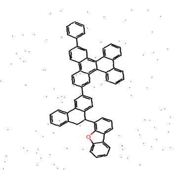 c1ccc(-c2ccc3c4ccc(-c5ccc6c(c5)-c5ccccc5CC6c5cccc6c5oc5ccccc56)cc4c4c5ccccc5c5ccccc5c4c3c2)cc1